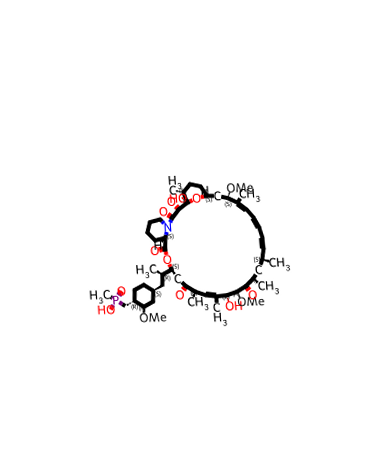 CO[C@H]1C[C@@H]2CC[C@@H](C)[C@@](O)(O2)C(=O)C(=O)N2CCCC[C@H]2C(=O)O[C@H]([C@H](C)C[C@@H]2CC[C@@H](CP(C)(=O)O)[C@H](OC)C2)CC(=O)[C@H](C)C=C(C)[C@@H](O)[C@@H](OC)C(=O)[C@H](C)C[C@H](C)C=CC=CC=C1C